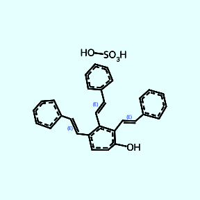 O=S(=O)(O)O.Oc1ccc(/C=C/c2ccccc2)c(/C=C/c2ccccc2)c1/C=C/c1ccccc1